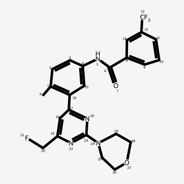 Cc1ccc(NC(=O)c2cccc(C(F)(F)F)c2)cc1-c1cc(CF)nc(N2CCOCC2)n1